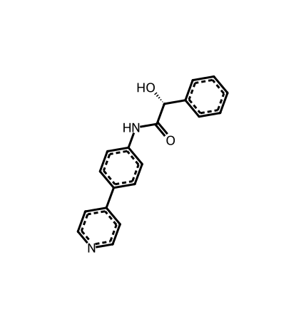 O=C(Nc1ccc(-c2ccncc2)cc1)[C@H](O)c1ccccc1